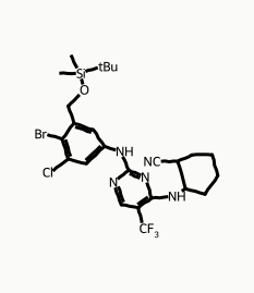 CC(C)(C)[Si](C)(C)OCc1cc(Nc2ncc(C(F)(F)F)c(NC3CCCCC3C#N)n2)cc(Cl)c1Br